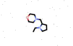 CCN1CCCC1CN1CCOCC1